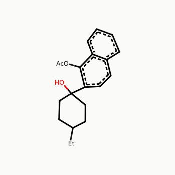 CCC1CCC(O)(c2ccc3ccccc3c2OC(C)=O)CC1